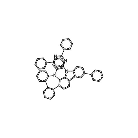 c1ccc(-c2ccc3c(c2)c2ccc4c(c2n3-c2nc(-c3ccccc3)nc(-c3ccccc3)n2)N(c2ccccc2)c2ccccc2-c2ccccc2-4)cc1